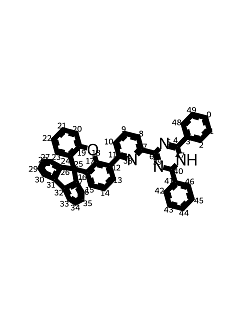 c1ccc(C2=NC(c3cccc(-c4cccc5c4Oc4ccccc4C54c5ccccc5-c5ccccc54)n3)=NC(c3ccccc3)N2)cc1